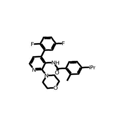 Cc1cc(C(C)C)ccc1C(=O)Nc1c(-c2cc(F)ccc2F)ccnc1N1CCOCC1